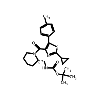 Cc1ccc(-c2sc(C3CC3)nc2C(=O)N2CCCC[C@H]2CNC(=O)OC(C)(C)C)cc1